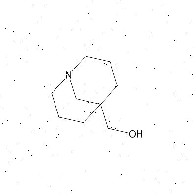 OCC12CCCN(CCC1)C2